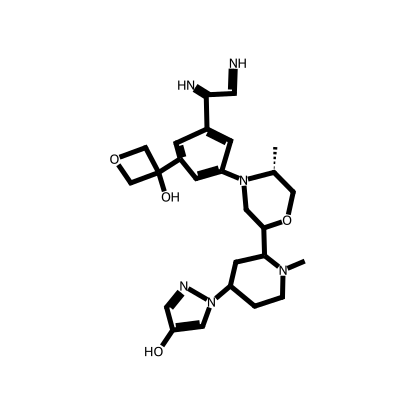 C[C@@H]1COC(C2CC(n3cc(O)cn3)CCN2C)CN1c1cc(C(=N)C=N)cc(C2(O)COC2)c1